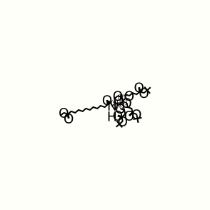 COC(=O)CCCCCCCCCCC(=O)N[C@H]1CO[C@H](COCCC(=O)OC(C)(C)C)[C@@H](OCCC(=O)OC(C)(C)C)[C@@H]1OCCC(=O)OC(C)(C)C